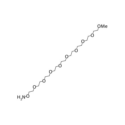 COCCOCCOCCOCCOCCOCCOCCOCCOCCON